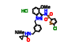 CNC1(C(=O)NCc2cccc(Cn3nc(NS(=O)(=O)c4ccc(Cl)s4)c4c(OC)cccc43)c2)CC1.Cl